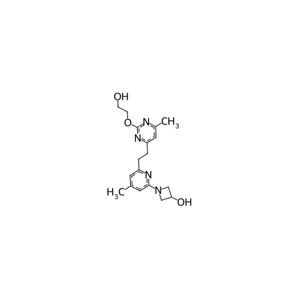 Cc1cc(CCc2cc(C)nc(OCCO)n2)nc(N2CC(O)C2)c1